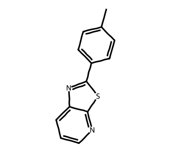 Cc1ccc(-c2nc3cccnc3s2)cc1